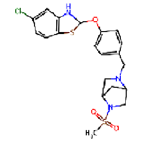 CS(=O)(=O)N1CC2CC1CN2Cc1ccc(OC2Nc3cc(Cl)ccc3S2)cc1